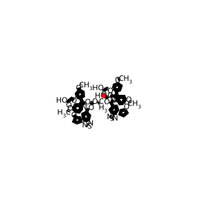 CCOC(=O)Oc1c(-c2ccc(OC)cc2OCC(=O)O)c2cc(OC)c(OC3CCCC3)cc2n1Cc1ccc2nsnc2c1.COc1ccc(-c2c(OC(=O)O)n(Cc3ccc4nsnc4c3)c3cc(OC4CCCC4)c(OC)cc23)c(OCC(=O)O)c1